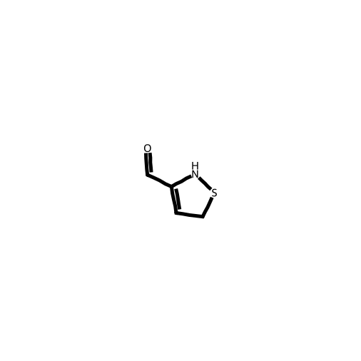 O=CC1=CCSN1